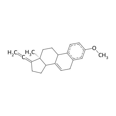 C=C=C1CCC2C3=CCc4cc(OC)ccc4C3CC[C@]12C